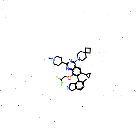 Cc1ccc2c(c1-c1c(C3CC3)cc3c(N4CCC5(CCC5)CC4)nc(C4CCN(C)CC4)nc3c1OCC(F)F)C=NC2